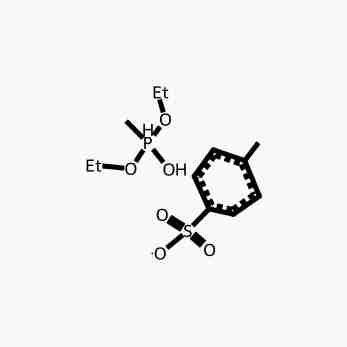 CCO[PH](C)(O)OCC.Cc1ccc(S([O])(=O)=O)cc1